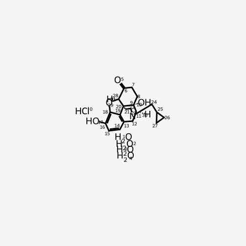 Cl.O.O.O.O.O=C1CC[C@@]2(O)[C@H]3Cc4ccc(O)c5c4[C@@]2(CCN3CC2CC2)[C@H]1O5